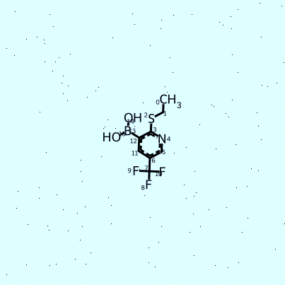 CCSc1ncc(C(F)(F)F)cc1B(O)O